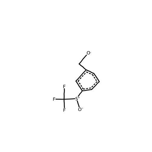 [O]Cc1cccc([S+]([O-])C(F)(F)F)c1